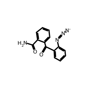 [N-]=[N+]=Nc1ccccc1C(=O)c1ccccc1C(N)=O